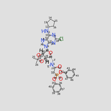 CN(C[C@H]1O[C@@H](n2cnc3c(NC4CCCC4)nc(Cl)nc32)[C@@H]2OC(C)(C)O[C@@H]21)C(=O)CP(=O)(Oc1ccccc1)Oc1ccccc1